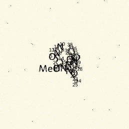 COc1cc(C(=O)N2CCN(C)C[C@H]2C)ccc1Nc1nc(OCC2CC2)c2c(C)cn(S(=O)(=O)c3ccc(C)cc3)c2n1